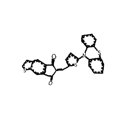 O=C1/C(=C\c2ccc(N3c4ccccc4Sc4ccccc43)s2)C(=O)c2cc3sccc3cc21